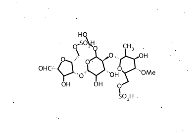 CO[C@@H]1C(COS(=O)(=O)O)O[C@H](O[C@@H]2C(OCO)O[C@@H](O[C@@H]3C(O)[C@H](C=O)O[C@@H]3COS(=O)(=O)O)C(O)[C@H]2O)C(C)[C@H]1O